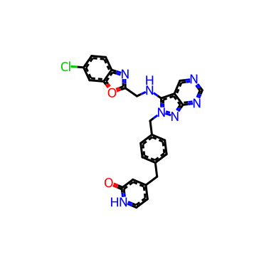 O=c1cc(Cc2ccc(Cn3nc4ncncc4c3NCc3nc4ccc(Cl)cc4o3)cc2)cc[nH]1